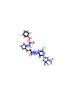 CN(C)C1CN(c2nc(Cl)nc(NNC(=O)[C@@H](CNC(=O)OCc3ccccc3)CC3CCCC3)c2F)CC1(C)C